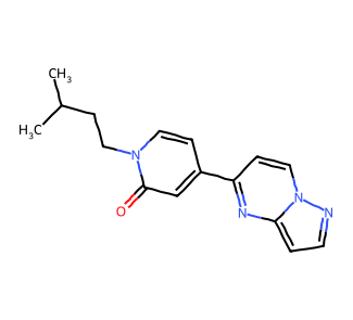 CC(C)CCn1ccc(-c2ccn3nccc3n2)cc1=O